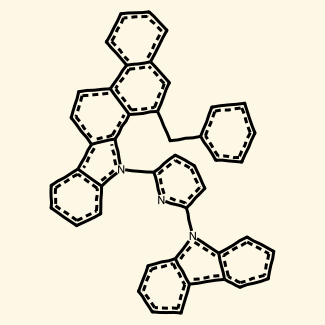 c1ccc(Cc2cc3ccccc3c3ccc4c5ccccc5n(-c5cccc(-n6c7ccccc7c7ccccc76)n5)c4c23)cc1